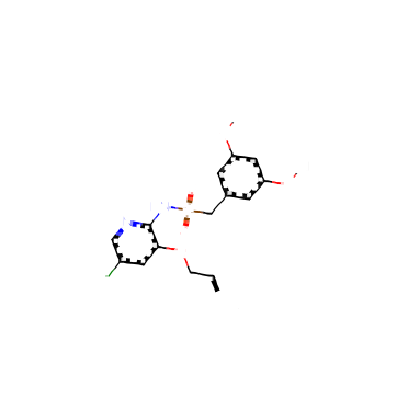 C=CCOc1cc(Cl)cnc1NS(=O)(=O)Cc1cc(OC)cc(OC)c1